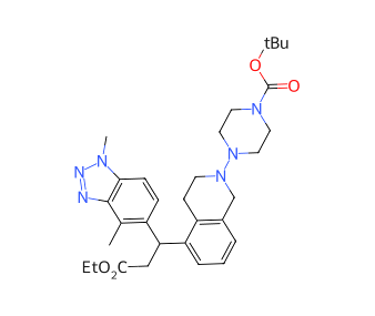 CCOC(=O)CC(c1cccc2c1CCN(N1CCN(C(=O)OC(C)(C)C)CC1)C2)c1ccc2c(nnn2C)c1C